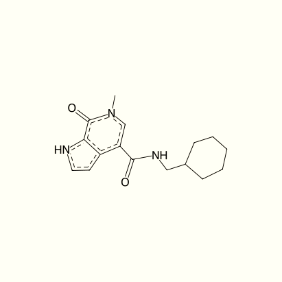 Cn1cc(C(=O)NCC2CCCCC2)c2cc[nH]c2c1=O